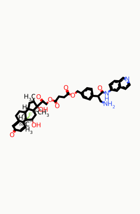 C[C@@H]1C[C@H]2[C@@H]3CCC4=CC(=O)C=C[C@]4(C)[C@@]3(F)[C@@H](O)C[C@]2(C)[C@@]1(O)C(=O)COC(=O)CCC(=O)OCc1ccc(C(CN)C(=O)Nc2ccc3cnccc3c2)cc1